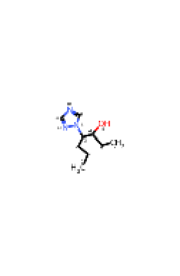 CCCC(C(O)CC)n1cncn1